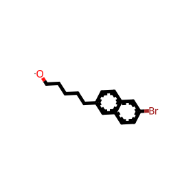 [O]CCCCCc1ccc2cc(Br)ccc2c1